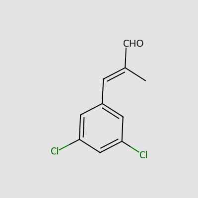 CC(C=O)=Cc1cc(Cl)cc(Cl)c1